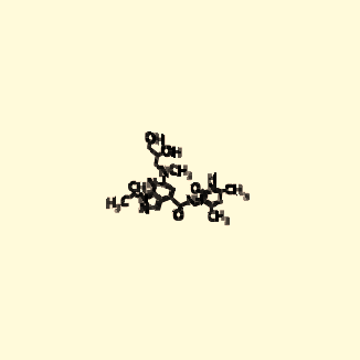 Cc1cc(C)c(CNC(=O)c2cc(N(C)CC(O)CO)nc3c2cnn3C(C)C)c(=O)[nH]1